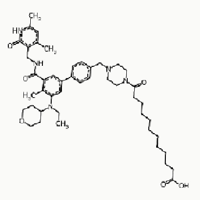 CCN(c1cc(-c2ccc(CN3CCN(C(=O)CCCCCCCCCCC(=O)O)CC3)cc2)cc(C(=O)NCc2c(C)cc(C)[nH]c2=O)c1C)C1CCOCC1